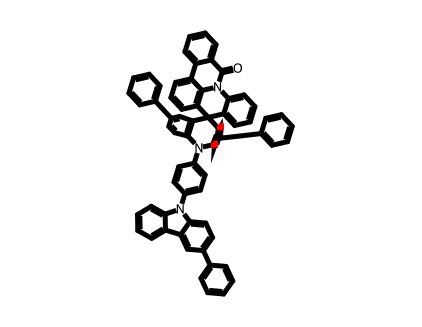 O=c1c2ccccc2c2cccc3c2n1-c1ccccc1C31c2cc(-c3ccccc3)ccc2N(c2ccc(-n3c4ccccc4c4cc(-c5ccccc5)ccc43)cc2)c2ccc(-c3ccccc3)cc21